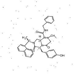 C[C@H](c1cccc2cccnc12)N1C[C@@H]2N(C(=O)CN(C)N2C(=O)NCc2ccccc2)[C@@H](Cc2ccc(O)cc2)C1=O